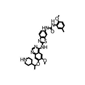 COc1ccc(C)cc1NC(=O)Nc1ccc2nc(Nc3ncnc4cc(OC(C)C5CCNCC5)c(OC)cc34)sc2c1